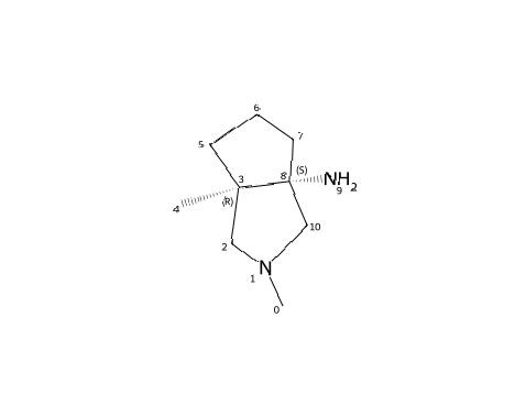 CN1C[C@@]2(C)CCC[C@@]2(N)C1